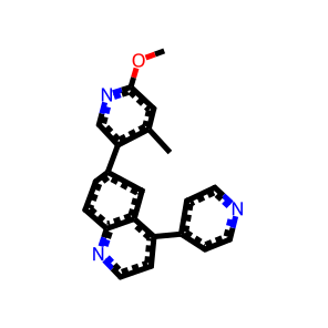 COc1cc(C)c(-c2ccc3nccc(-c4ccncc4)c3c2)cn1